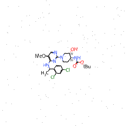 COc1cnc(N2CC[C@H](NC(=O)OC(C)(C)C)[C@@H](O)C2)nc1NC(C)c1ccc(Cl)cc1Cl